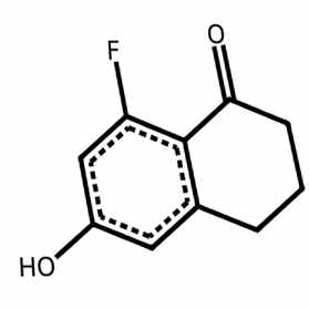 O=C1CCCc2cc(O)cc(F)c21